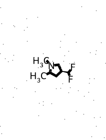 CC1C[C@H](C(F)F)CN1C